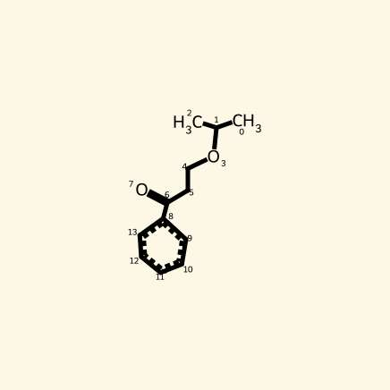 CC(C)OCCC(=O)c1cc[c]cc1